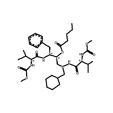 CCCCC(=O)O[C@@H](CN(CC1CCCCC1)NC(=O)[C@@H](NC(=O)OC)C(C)C)[C@H](Cc1ccccc1)NC(=O)[C@@H](NC(=O)OC)C(C)C